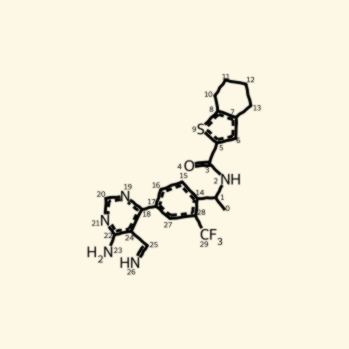 CC(NC(=O)c1cc2c(s1)CCCC2)c1ccc(-c2ncnc(N)c2C=N)cc1C(F)(F)F